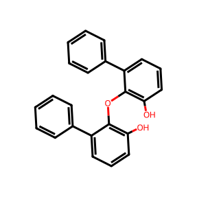 Oc1cccc(-c2ccccc2)c1Oc1c(O)cccc1-c1ccccc1